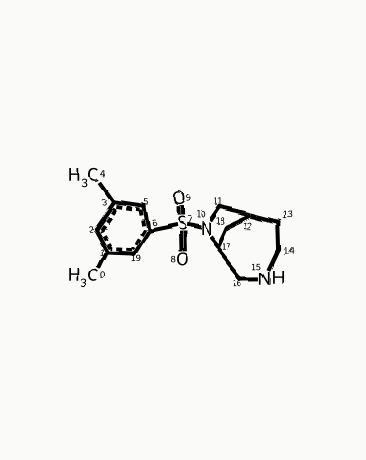 Cc1cc(C)cc(S(=O)(=O)N2CC3CCNCC2C3)c1